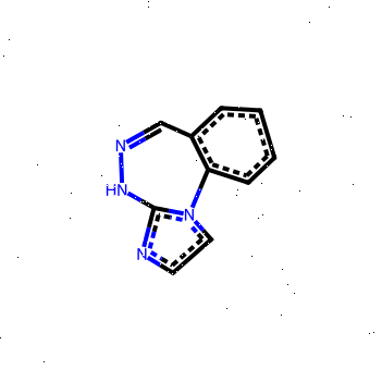 C1=NNc2nccn2-c2ccccc21